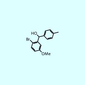 COc1ccc(Br)c(C(O)c2ccc(C)cc2)c1